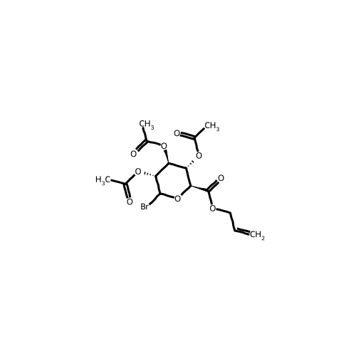 C=CCOC(=O)[C@H]1OC(Br)[C@H](OC(C)=O)[C@@H](OC(C)=O)[C@@H]1OC(C)=O